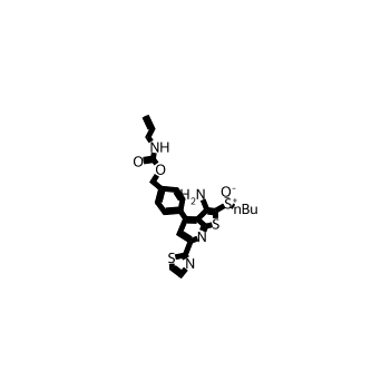 C=CCNC(=O)OCc1ccc(-c2cc(-c3nccs3)nc3sc([S+]([O-])CCCC)c(N)c23)cc1